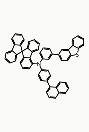 c1cc(-c2ccc3sc4ccccc4c3c2)cc(N(c2ccc(-c3cccc4ccccc34)cc2)c2cccc3c2-c2ccccc2C32c3ccccc3-c3ccccc32)c1